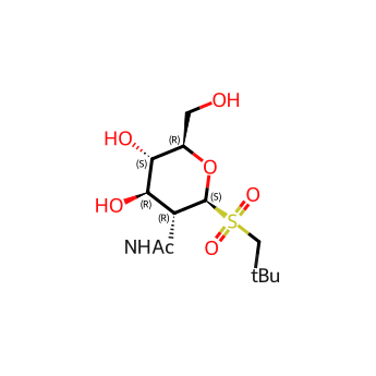 CC(=O)N[C@@H]1[C@@H](O)[C@H](O)[C@@H](CO)O[C@H]1S(=O)(=O)CC(C)(C)C